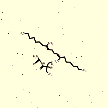 CCC(Br)(CC)C(=O)NC(N)=O.CCCCCCC/C(C)=C/CC/C=C(\C)CCCCCCC